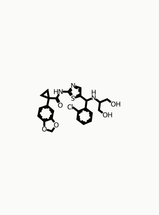 O=C(Nc1ncc(C(NC(CO)CO)c2ccccc2Cl)s1)C1(c2ccc3c(c2)OCO3)CC1